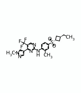 CC[C@H]1C[C@H](S(=O)(=O)c2ccc(Nc3ncc(C(F)(F)F)c(-c4cnn(C)c4)n3)c(C)c2)C1